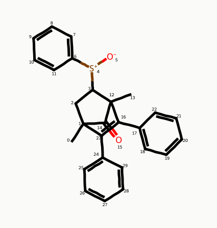 CC12CC([S+]([O-])c3ccccc3)C(C)(C1=O)C(c1ccccc1)=C2c1ccccc1